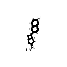 N=NC1CC2CC(c3ccc4cc(Cl)ccc4c3)C2C1